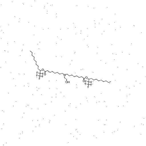 CCCCCCCCCC(OC(=O)CCCCCCCN(CCO)CCCCCCCC(=O)OC(CCCCCCCCC)C(F)(F)C(F)(F)F)C(F)(F)C(F)(F)F